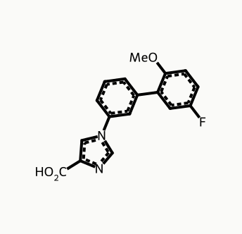 COc1ccc(F)cc1-c1cccc(-n2cnc(C(=O)O)c2)c1